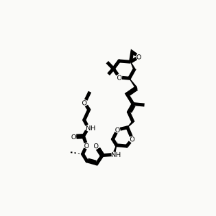 COCCNC(=O)O[C@@H](C)/C=C\C(=O)N[C@H]1CO[C@@H](C/C=C(C)/C=C/[C@@H]2C[C@]3(CO3)CC(C)(C)O2)OC1